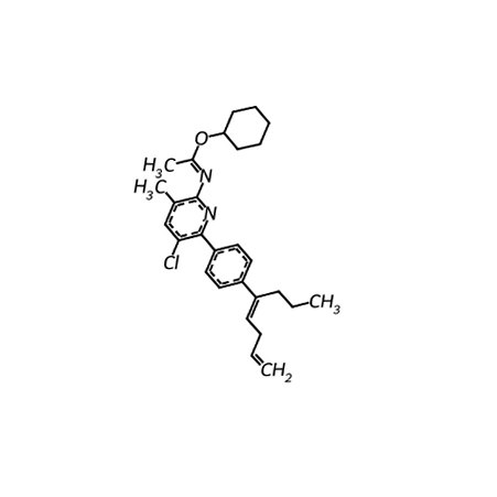 C=CC/C=C(\CCC)c1ccc(-c2nc(/N=C(\C)OC3CCCCC3)c(C)cc2Cl)cc1